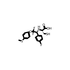 CSc1ccc(OC(F)(F)[C@@H](N[C@@H](CS)C(=O)O)c2ccc(F)cc2)cc1